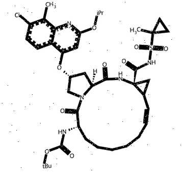 Cc1c(Cl)ccc2c(O[C@@H]3C[C@H]4C(=O)N[C@]5(C(=O)NS(=O)(=O)C6(C)CC6)CC5/C=C\CCCCC[C@H](NC(=O)OC(C)(C)C)C(=O)N4C3)cc(OC(C)C)nc12